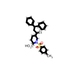 CCC(CC(c1ccccc1)c1ccccc1)C1CCC(C(=O)O)N(S(=O)(=O)c2ccc(C)cc2)C1